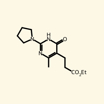 CCOC(=O)CCc1c(C)nc(N2CCCC2)[nH]c1=O